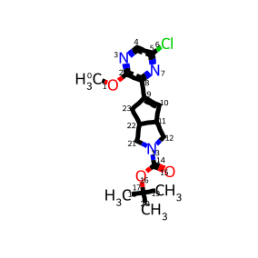 COc1ncc(Cl)nc1C1=CC2CN(C(=O)OC(C)(C)C)CC2C1